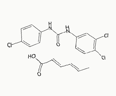 CC=CC=CC(=O)O.O=C(Nc1ccc(Cl)cc1)Nc1ccc(Cl)c(Cl)c1